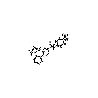 CS(=O)(=O)N(c1cccnc1-c1ccc(C(=O)Nc2ccc(C(F)(F)F)cn2)cc1)S(C)(=O)=O